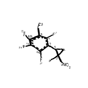 CC1([N+](=O)[O-])CC1c1c(F)c(F)c(F)c(F)c1F